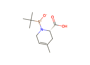 CC1=CCN([S+]([O-])C(C)(C)C)[C@H](C(=O)O)C1